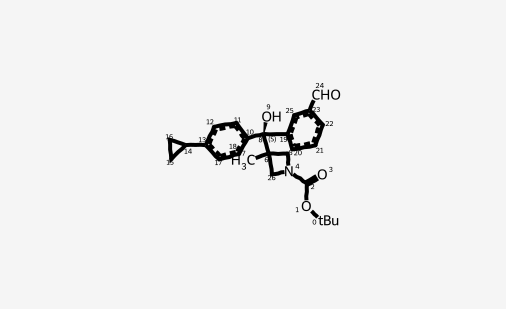 CC(C)(C)OC(=O)N1CC(C)([C@](O)(c2ccc(C3CC3)cc2)c2cccc(C=O)c2)C1